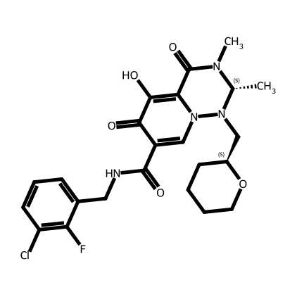 C[C@H]1N(C)C(=O)c2c(O)c(=O)c(C(=O)NCc3cccc(Cl)c3F)cn2N1C[C@@H]1CCCCO1